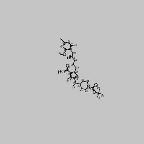 COc1nc(C)cc(C)c1CNCCCc1sc([C@H](C)C2CCN(C(=O)OC(C)(C)C)CC2)c(C)c1C(=O)O